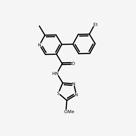 CCc1cccc(-c2cc(C)ncc2C(=O)Nc2nnc(OC)s2)c1